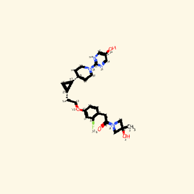 CC1(O)CN(C(=O)Cc2ccc(OCC[C@@H]3C[C@@H]3C3CCN(c4ncc(O)cn4)CC3)cc2F)C1